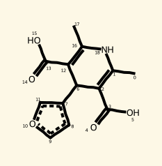 CC1=C(C(=O)O)C(c2ccoc2)C(C(=O)O)=C(C)N1